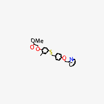 COC(=O)COc1ccc(SCc2ccc(OCc3ccccn3)cc2)cc1C